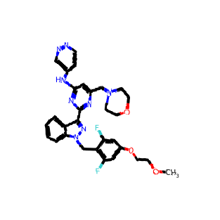 COCCOc1cc(F)c(Cn2nc(-c3nc(CN4CCOCC4)cc(Nc4ccnnc4)n3)c3ccccc32)c(F)c1